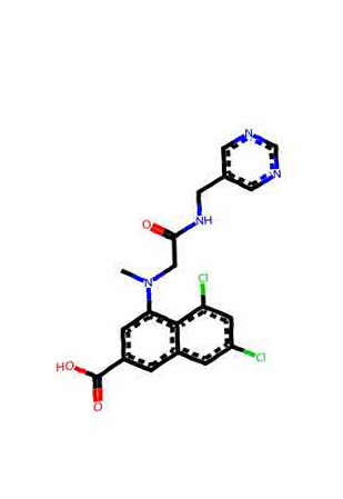 CN(CC(=O)NCc1cncnc1)c1cc(C(=O)O)cc2cc(Cl)cc(Cl)c12